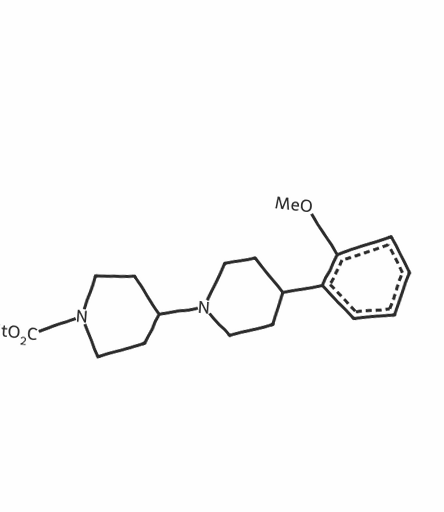 CCOC(=O)N1CCC(N2CCC(c3ccccc3OC)CC2)CC1